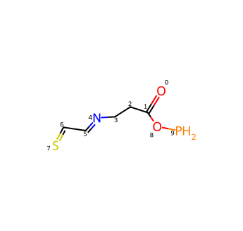 O=C(CCN=CC=S)OP